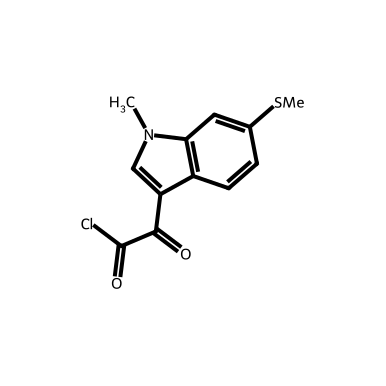 CSc1ccc2c(C(=O)C(=O)Cl)cn(C)c2c1